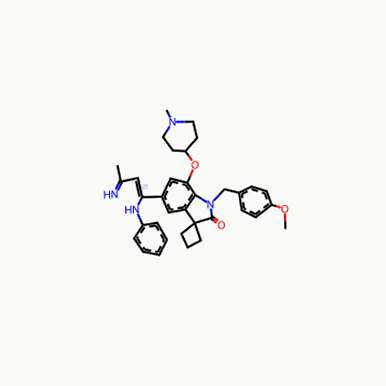 COc1ccc(CN2C(=O)C3(CCC3)c3cc(/C(=C/C(C)=N)Nc4ccccc4)cc(OC4CCN(C)CC4)c32)cc1